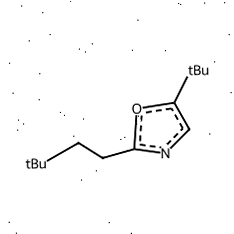 CC(C)(C)CCc1ncc(C(C)(C)C)o1